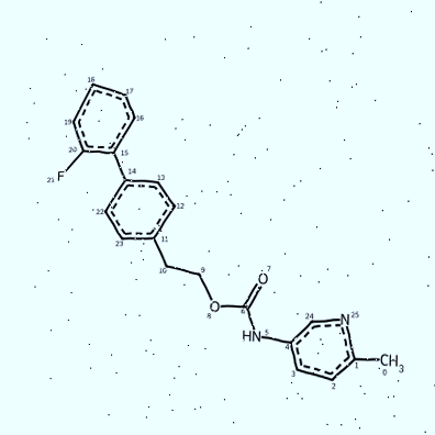 Cc1ccc(NC(=O)OCCc2ccc(-c3ccccc3F)cc2)cn1